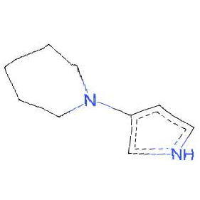 c1cc(N2CCCCC2)c[nH]1